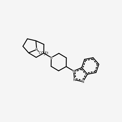 CCOC(=O)N1C2CCC1CC(N1CCC(n3nnc4ccccc43)CC1)C2